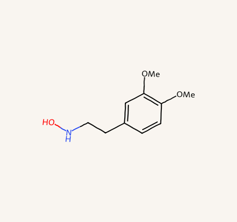 COc1ccc(CCNO)cc1OC